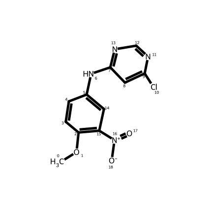 COc1ccc(Nc2cc(Cl)ncn2)cc1[N+](=O)[O-]